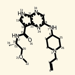 C=CCN1CCC(Nc2cnc3[nH]cc(C(=O)N[C@@H](C)COC)c3n2)CC1